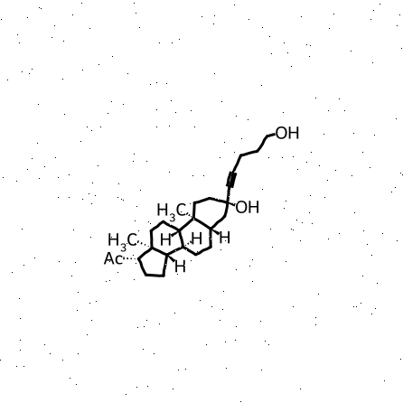 CC(=O)[C@H]1CC[C@H]2[C@@H]3CC[C@H]4C[C@@](O)(C#CCCCO)CC[C@]4(C)[C@H]3CC[C@]12C